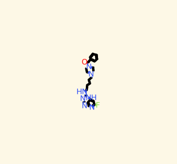 N#C/N=C(/NCCCCCN1CCN(C(=O)c2ccccc2)CC1)Nc1ccnc(F)c1